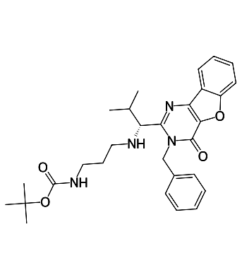 CC(C)[C@@H](NCCCNC(=O)OC(C)(C)C)c1nc2c(oc3ccccc32)c(=O)n1Cc1ccccc1